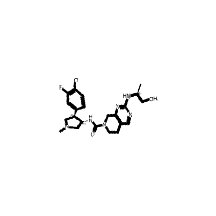 C[C@@H](CO)Nc1ncc2c(n1)CN(C(=O)N[C@@H]1CN(C)C[C@H]1c1ccc(Cl)c(F)c1)CC2